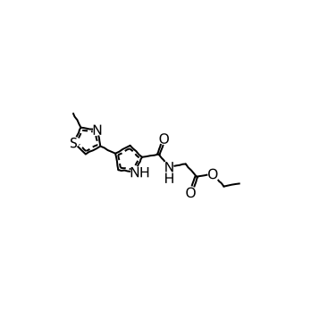 CCOC(=O)CNC(=O)c1cc(-c2csc(C)n2)c[nH]1